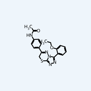 CCOc1ccccc1-c1nnc2n1N=C(c1ccc(NC(C)=O)cc1)CS2